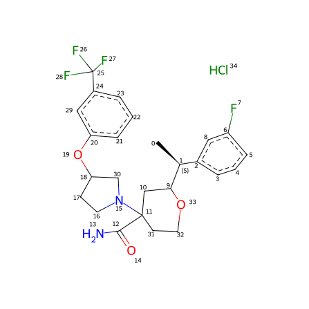 C[C@@H](c1cccc(F)c1)C1CC(C(N)=O)(N2CCC(Oc3cccc(C(F)(F)F)c3)C2)CCO1.Cl